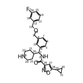 O=C(NC(c1cccc(COCc2cccc(F)c2)c1)C1CCNCC1)c1cc(C2CC2)on1